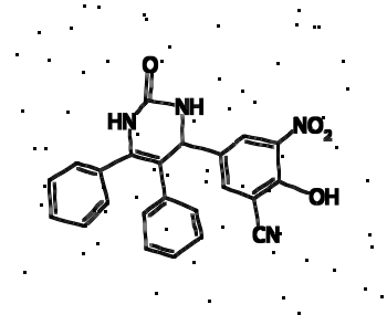 N#Cc1cc(C2NC(=O)NC(c3ccccc3)=C2c2ccccc2)cc([N+](=O)[O-])c1O